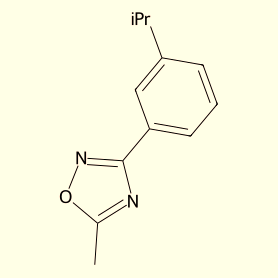 Cc1nc(-c2cccc(C(C)C)c2)no1